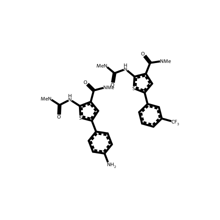 CNC(=O)Nc1sc(-c2ccc(N)cc2)cc1C(=O)NC.CNC(=O)Nc1sc(-c2cccc(C(F)(F)F)c2)cc1C(=O)NC